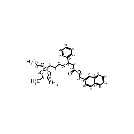 CCO[Si](CCCSC(CC(=O)OCc1ccc2ccccc2c1)c1ccccc1)(OCC)OCC